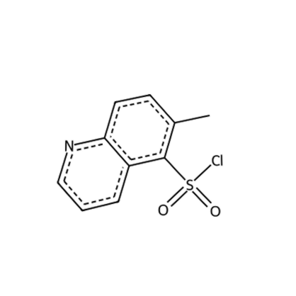 Cc1ccc2ncccc2c1S(=O)(=O)Cl